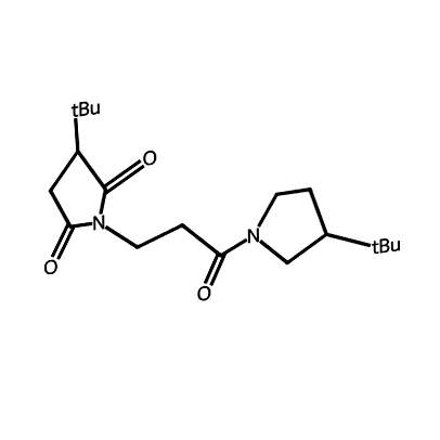 CC(C)(C)C1CCN(C(=O)CCN2C(=O)CC(C(C)(C)C)C2=O)C1